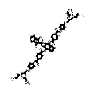 C=CC(=O)OCC(COc1ccc(OC(=O)C2CCC(C(=O)Oc3c4c(c(OC(=O)C5CCC(C(=O)Oc6ccc(OCC(COC(=O)C=C)OC(=O)C=C)cc6)CC5)c5ccccc35)SC(=C3C(=O)c5ccccc5C3=O)N4)CC2)cc1)OC(=O)C=C